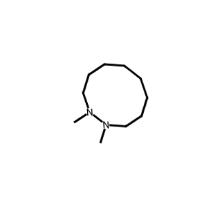 CN1CCCCCCCCN1C